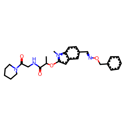 CC(Oc1cc2cc(C=NOCc3ccccc3)ccc2n1C)C(=O)NCC(=O)N1CCCCC1